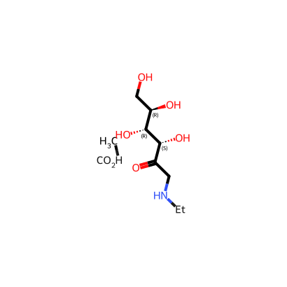 CC(=O)O.CCNCC(=O)[C@@H](O)[C@H](O)[C@H](O)CO